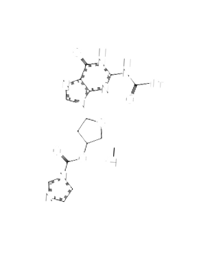 [2H]C[C@H]1O[C@@H](n2cnc3c(=O)[nH]c(NC(=O)C(C)C)nc32)CC1OC(=O)n1ccnc1